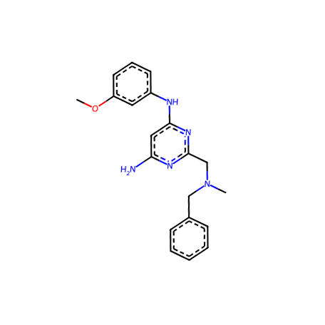 COc1cccc(Nc2cc(N)nc(CN(C)Cc3ccccc3)n2)c1